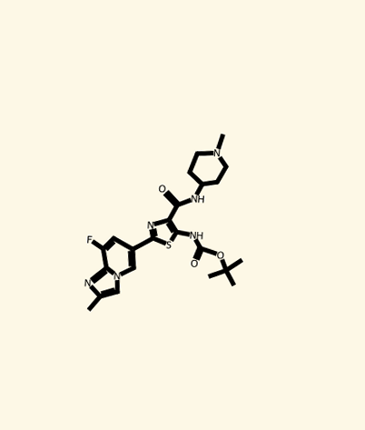 Cc1cn2cc(-c3nc(C(=O)NC4CCN(C)CC4)c(NC(=O)OC(C)(C)C)s3)cc(F)c2n1